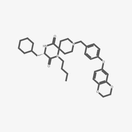 CCCCN1C(=O)[C@H](CC2CCCCC2)NC(=O)C12CCN(Cc1ccc(Oc3ccc4c(c3)OCCO4)cc1)CC2